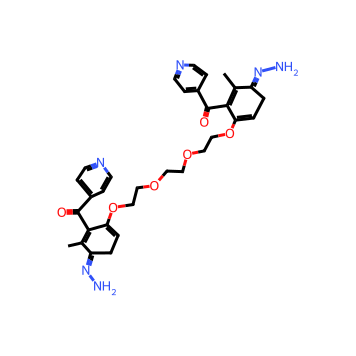 CC1=C(C(=O)c2ccncc2)C(OCCOCCOCCOC2=CCC(=NN)C(C)=C2C(=O)c2ccncc2)=CCC1=NN